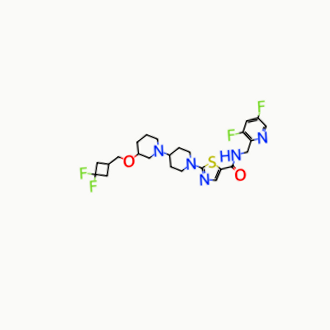 O=C(NCc1ncc(F)cc1F)c1cnc(N2CCC(N3CCCC(OCC4CC(F)(F)C4)C3)CC2)s1